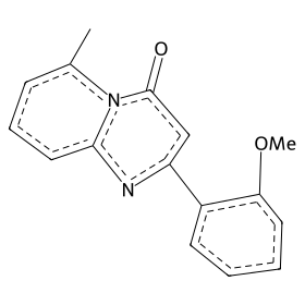 COc1ccccc1-c1cc(=O)n2c(C)cccc2n1